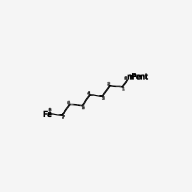 CCCCCCCCCCC[CH2][Fe]